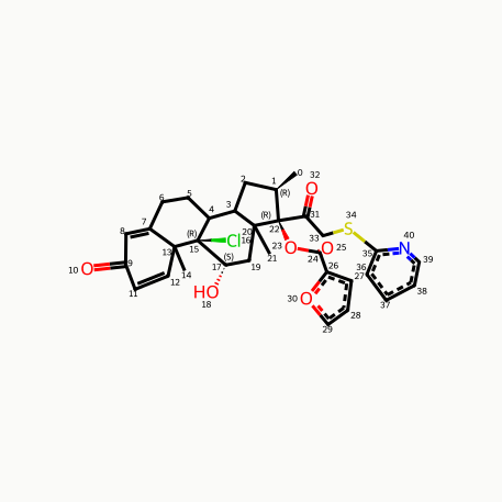 C[C@@H]1CC2C3CCC4=CC(=O)C=CC4(C)[C@@]3(Cl)[C@@H](O)CC2(C)[C@@]1(OC(=O)c1ccco1)C(=O)CSc1ccccn1